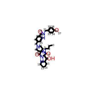 CCCCN1C(=O)[C@@H]([C@H](O)C2CCCCC2)NC(=O)C12CCN(Cc1ccc(C(=O)NCc3ccc(OC)cc3)cc1)CC2